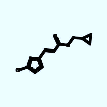 O=C(C=Cc1ccc(Cl)s1)OCC1CC1